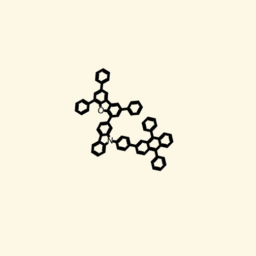 c1ccc(-c2cc(-c3ccccc3)c3oc4c(-c5ccc6c7ccccc7n(-c7ccc(-c8ccc9c(-c%10ccccc%10)c%10ccccc%10c(-c%10ccccc%10)c9c8)cc7)c6c5)cc(-c5ccccc5)cc4c3c2)cc1